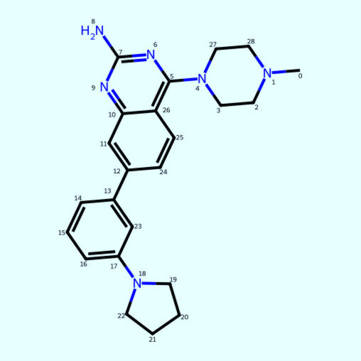 CN1CCN(c2nc(N)nc3cc(-c4cccc(N5CCCC5)c4)ccc23)CC1